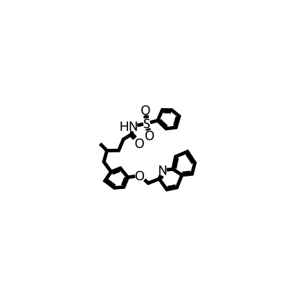 CC(CCC(=O)NS(=O)(=O)c1ccccc1)Cc1cccc(OCc2ccc3ccccc3n2)c1